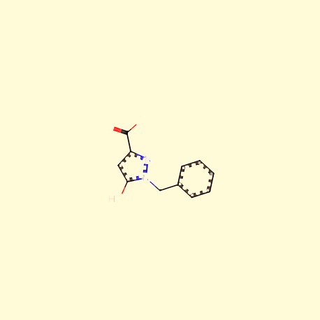 O=C(O)c1cc(O)n(Cc2ccccc2)n1